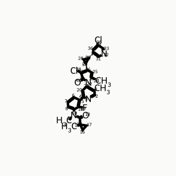 Cc1cnc(-c2cccc(N(C)C(=O)C3(C)CC3)c2F)cc1-n1c(C)cc([C@H]2C[C@@H]2c2cncc(Cl)c2)c(Cl)c1=O